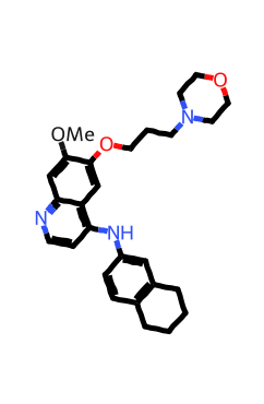 COc1cc2nccc(Nc3ccc4c(c3)CCCC4)c2cc1OCCCN1CCOCC1